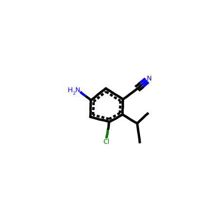 CC(C)c1c(Cl)cc(N)cc1C#N